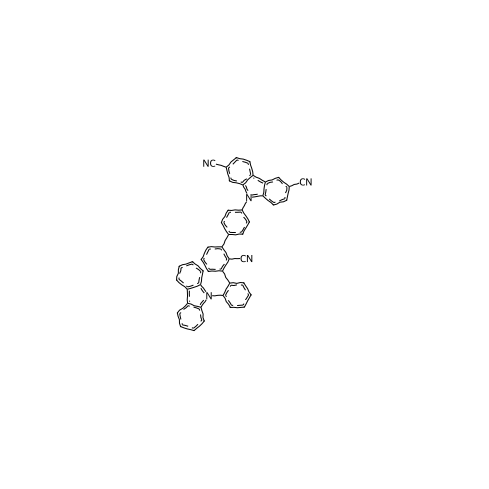 N#Cc1ccc2c(c1)c1ccc(C#N)cc1n2-c1ccc(-c2cccc(-c3ccccc3-n3c4ccccc4c4ccccc43)c2C#N)cc1